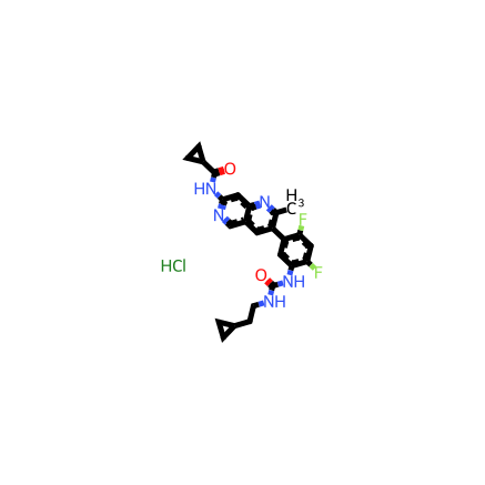 Cc1nc2cc(NC(=O)C3CC3)ncc2cc1-c1cc(NC(=O)NCCC2CC2)c(F)cc1F.Cl